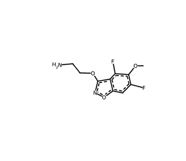 COc1c(F)cc2onc(OCCN)c2c1F